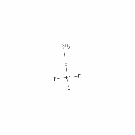 C[SH2+].F[B-](F)(F)F